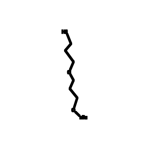 CCCCOCCCOCCCS